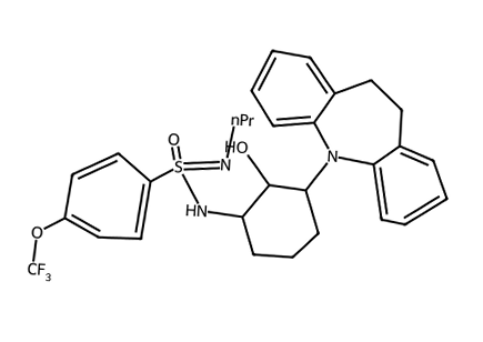 CCCN=S(=O)(NC1CCCC(N2c3ccccc3CCc3ccccc32)C1O)c1ccc(OC(F)(F)F)cc1